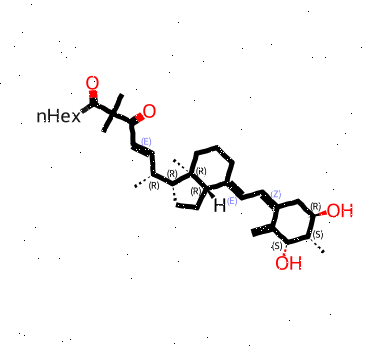 C=C1/C(=C\C=C2/CCC[C@]3(C)[C@@H]([C@H](C)/C=C/C(=O)C(C)(C)C(=O)CCCCCC)CC[C@@H]23)C[C@@H](O)[C@H](C)[C@@H]1O